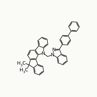 CC1(C)c2ccccc2-c2c1ccc1c3ccccc3n(Cn3nc(-c4ccc(-c5ccccc5)cc4)c4ccccc43)c21